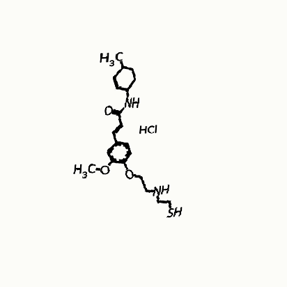 COc1cc(C=CC(=O)NC2CCC(C)CC2)ccc1OCCNCCS.Cl